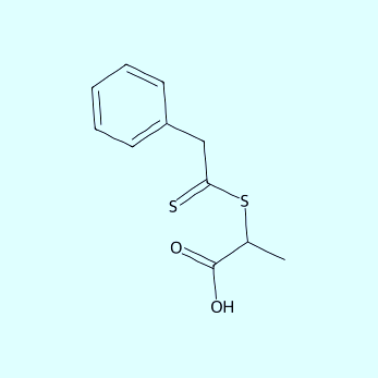 CC(SC(=S)Cc1ccccc1)C(=O)O